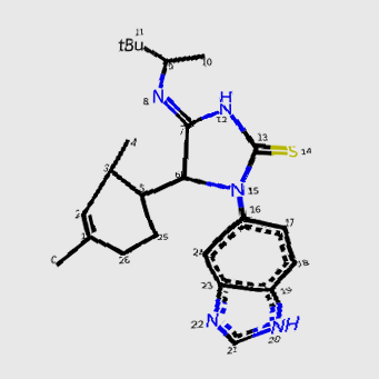 CC1=CC(C)C(C2C(=NC(C)C(C)(C)C)NC(=S)N2c2ccc3[nH]cnc3c2)CC1